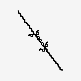 CCCCCCCCCCCCCCCC(OCC)=C(COCOCOCC(OCC)=C(CCCCCCCCCCCCCCC)OCC)OCC